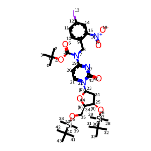 CC(C)(C)OC(=O)N(Cc1ccc(I)cc1[N+](=O)[O-])c1ccn([C@H]2C[C@@H](O[Si](C)(C)C(C)(C)C)[C@@H](CO[Si](C)(C)C(C)(C)C)O2)c(=O)n1